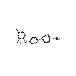 CCC(C)c1ccc(-c2ccc(Nc3ccc(C)cc3C)cc2)cc1